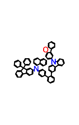 c1ccc(C2(c3ccccc3)c3ccccc3-c3ccc(N(c4ccc(-c5ccccc5-c5ccc6c(c5)c5ccccc5n6-c5ccc6oc7ccccc7c6c5)cc4)c4cccc5ccccc45)cc32)cc1